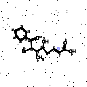 CC(C(O)C/C=C/C(=O)O)C(Br)C(=O)c1ccccc1